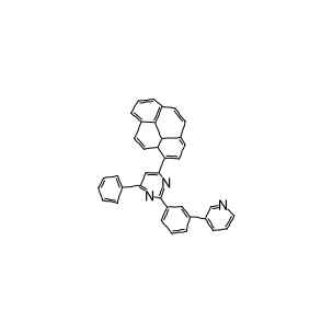 C1=Cc2cccc3c2C2C1=CC=C(c1cc(-c4ccccc4)nc(-c4cccc(-c5cccnc5)c4)n1)C2C=C3